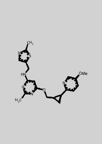 COc1ccc(C2CC2COc2cc(NCc3cnc(C)s3)nc(C)n2)nc1